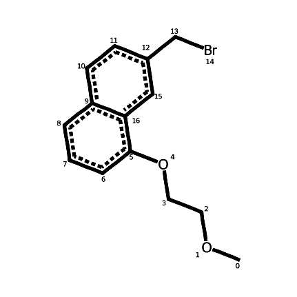 COCCOc1cccc2ccc(CBr)cc12